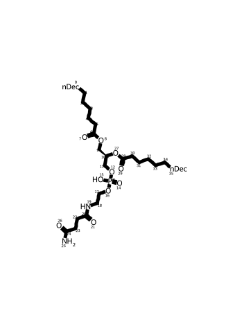 CCCCCCCCCCCCCCCC(=O)OC[C@H](COP(=O)(O)OCCNC(=O)CCC(N)=O)OC(=O)CCCCCCCCCCCCCCC